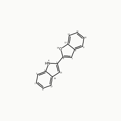 c1ccc2[nH]c(-c3cc4ccccc4o3)cc2c1